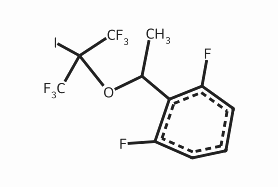 CC(OC(I)(C(F)(F)F)C(F)(F)F)c1c(F)cccc1F